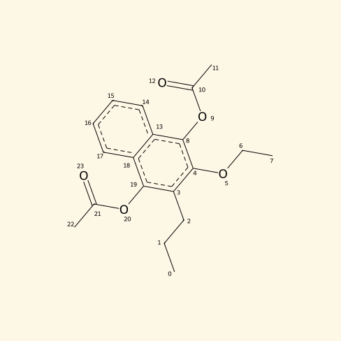 CCCc1c(OCC)c(OC(C)=O)c2ccccc2c1OC(C)=O